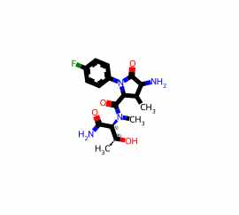 CC1C(N)C(=O)N(c2ccc(F)cc2)C1C(=O)N(C)[C@H](C(N)=O)[C@@H](C)O